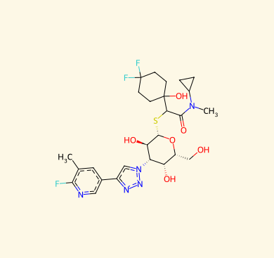 Cc1cc(-c2cn([C@H]3[C@@H](O)[C@@H](CO)O[C@@H](SC(C(=O)N(C)C4CC4)C4(O)CCC(F)(F)CC4)[C@@H]3O)nn2)cnc1F